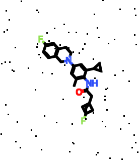 Cc1cc(N2CCc3cc(F)ccc3C2)cc(C2CC2)c1NC(=O)CC12CC(F)(C1)C2